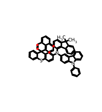 CC1(C)c2ccccc2-c2c(N(c3ccc4c(c3)C3(c5ccccc5S4)c4ccccc4-c4cccc5cccc3c45)c3ccc4c(c3)c3ccccc3n4-c3ccccc3)cccc21